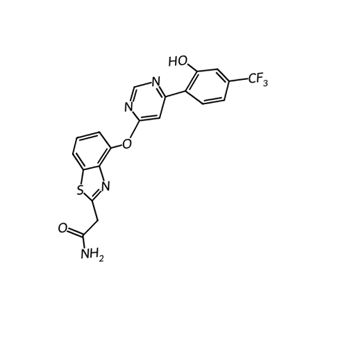 NC(=O)Cc1nc2c(Oc3cc(-c4ccc(C(F)(F)F)cc4O)ncn3)cccc2s1